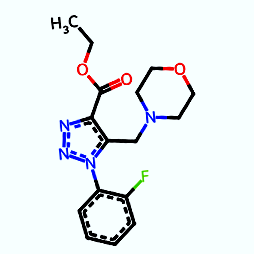 CCOC(=O)c1nnn(-c2ccccc2F)c1CN1CCOCC1